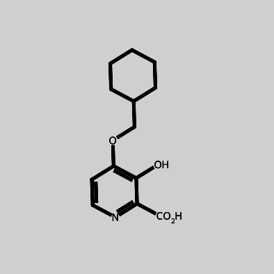 O=C(O)c1nccc(OCC2CCCCC2)c1O